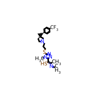 C/C=N\C(C)=C(/S)c1nnc(SCCCN2CC[C@]3(C[C@H]3c3ccc(C(F)(F)F)cc3)C2)n1C